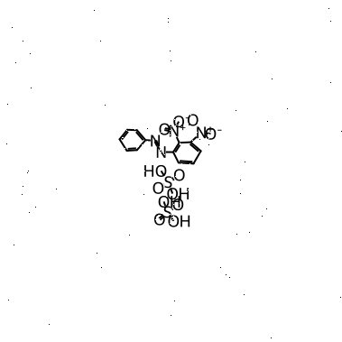 O=S(=O)(O)O.O=S(=O)(O)O.O=[N+]([O-])c1cccc(N=Nc2ccccc2)c1[N+](=O)[O-]